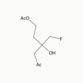 CC(=O)CC(O)(CF)CCOC(C)=O